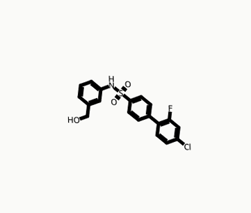 O=S(=O)(Nc1cccc(CO)c1)c1ccc(-c2ccc(Cl)cc2F)cc1